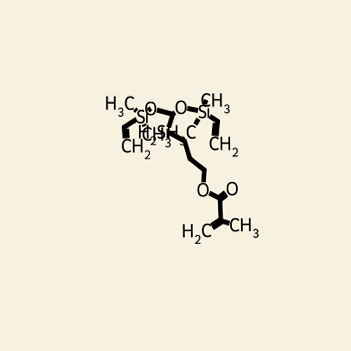 C=C[Si](C)(C)OC(O[Si](C)(C)C=C)[SiH2]CCCOC(=O)C(=C)C